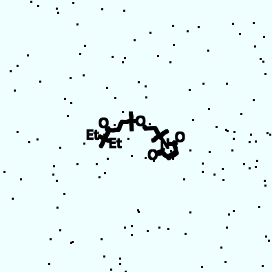 CCC(C)(CC)C(=O)CCC(C)(C)OCCC(C)(C)N1C(=O)C=CC1=O